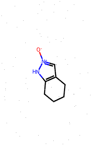 [O-][n+]1[c]c2c([nH]1)CCCC2